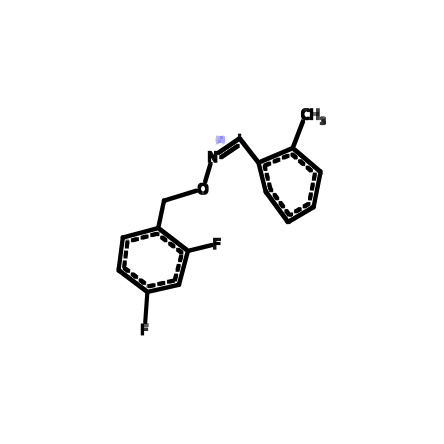 Cc1ccccc1/[C]=N\OCc1ccc(F)cc1F